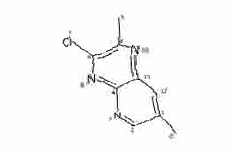 Cc1cnc2nc(Cl)c(C)nc2c1